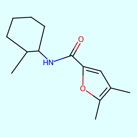 Cc1cc(C(=O)NC2CCCCC2C)oc1C